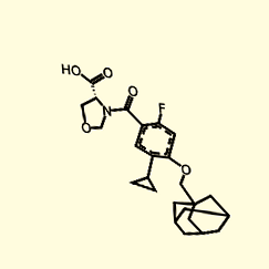 O=C(O)[C@H]1COCN1C(=O)c1cc(C2CC2)c(OCC23CC4CC(CC(C4)C2)C3)cc1F